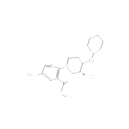 CO[C@H]1CN(c2ncc(C)cc2C(=O)OC(C)C)CCC1NC1CCCCC1